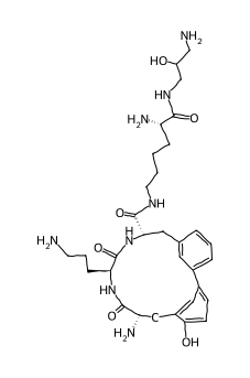 NCCC[C@@H]1NC(=O)[C@@H](N)Cc2cc(ccc2O)-c2cccc(c2)C[C@@H](C(=O)NCCCC[C@H](N)C(=O)NCC(O)CN)NC1=O